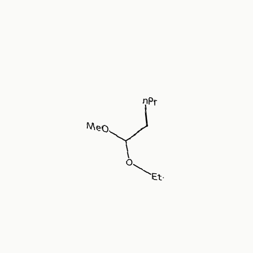 C[CH]OC(CCCC)OC